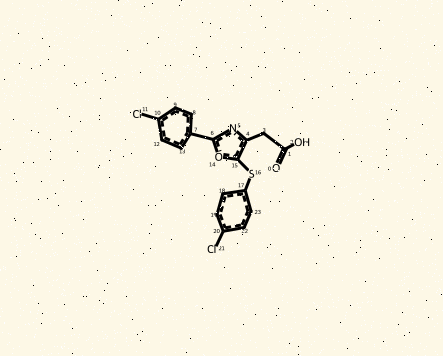 O=C(O)Cc1nc(-c2ccc(Cl)cc2)oc1Sc1ccc(Cl)cc1